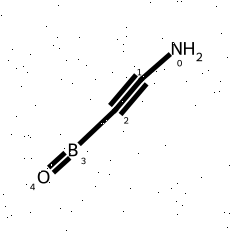 NC#CB=O